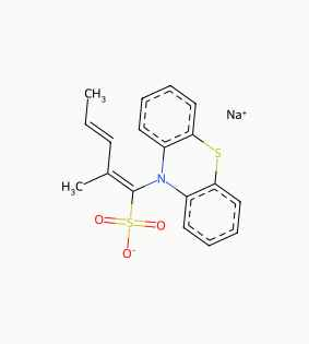 CC=CC(C)=C(N1c2ccccc2Sc2ccccc21)S(=O)(=O)[O-].[Na+]